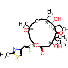 CC[C@H]1C(=O)C(C)(C)[C@@H](O)CC(=O)O[C@H](C(F)=Cc2csc(C)n2)CC2O[C@]2(C)CCC[C@H](C)[C@@H]1O